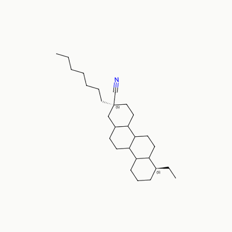 CCCCCCC[C@]1(C#N)CCC2C(CCC3C2CCC2C3CCC[C@@H]2CC)C1